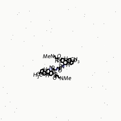 CNCCC(=O)OC1CC[C@@]2(C)C(C1)/C(=N\OC(=O)/C=C/C(=O)O/N=C1/C[C@@H]3[C@@H](CC[C@]4(C)C(=O)CC[C@@H]34)[C@@]3(C)CCC(OC(=O)CCNC)CC13)C[C@@H]1[C@H]2CC[C@]2(C)C(=O)CC[C@@H]12